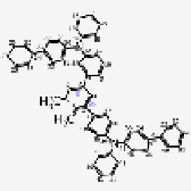 C=C/C(=C\C(=C/CC)c1cccc(N(c2ccccc2)c2ccc(C3=CCCC=C3)cc2)c1)c1ccc(N(c2ccccc2)c2ccc(-c3ccccc3)cc2)cc1